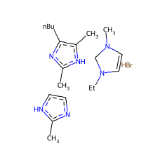 Br.CCCCc1nc(C)[nH]c1C.CCN1C=CN(C)C1.Cc1ncc[nH]1